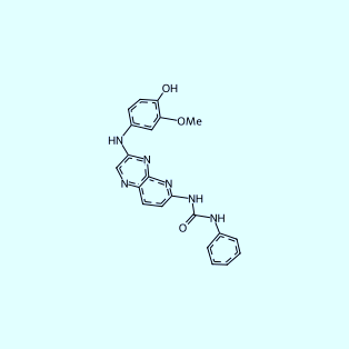 COc1cc(Nc2cnc3ccc(NC(=O)Nc4ccccc4)nc3n2)ccc1O